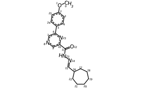 COc1ccc(-c2cncc(C(=O)N/N=C/C3CCCCCC3)n2)cc1